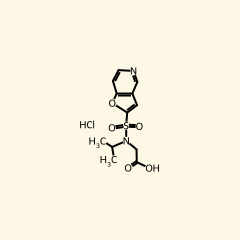 CC(C)N(CC(=O)O)S(=O)(=O)c1cc2cnccc2o1.Cl